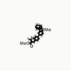 COC(=O)c1cc2ccc(-c3ccc(OC)c(C45CC6CC(CC(C6)C4)C5)c3)cc2nc1C